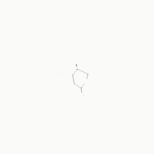 C[C@@H]1OC(Br)[C@H](O)[C@H](O)[C@H]1O